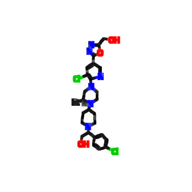 CC[C@H]1CN(c2ncc(-c3nnc(CO)o3)cc2Cl)CCN1C1CCN(C(CO)c2ccc(Cl)cc2)CC1